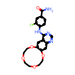 NC(=O)c1ccc(Nc2ncnc3cc4c(cc23)OCCOCCOCCO4)c(F)c1